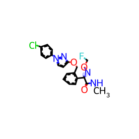 CNC(=O)/C(=N/OCF)c1ccccc1COc1ccn(-c2ccc(Cl)cc2)n1